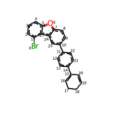 Brc1cccc2oc3ccc(-c4ccc(C5=CCCC=C5)cc4)cc3c12